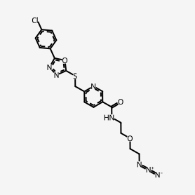 [N-]=[N+]=NCCOCCNC(=O)c1ccc(CSc2nnc(-c3ccc(Cl)cc3)o2)nc1